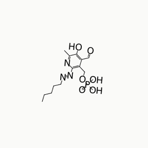 CCCCCN=Nc1nc(C)c(O)c(C=O)c1COP(=O)(O)O